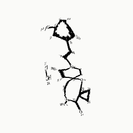 CC(C)N1CC2(CCN(CCc3cccc(F)c3)CC2)OC2(CC2)C1=O.OCl